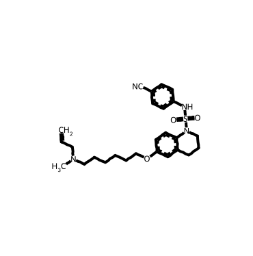 C=CCN(C)CCCCCCOc1ccc2c(c1)CCCN2S(=O)(=O)Nc1ccc(C#N)cc1